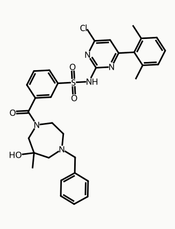 Cc1cccc(C)c1-c1cc(Cl)nc(NS(=O)(=O)c2cccc(C(=O)N3CCN(Cc4ccccc4)CC(C)(O)C3)c2)n1